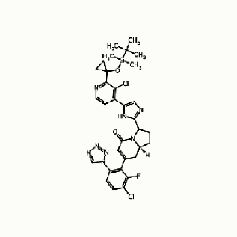 CC(C)(C)[Si](C)(C)OC1(c2nccc(-c3cnc(C4CC[C@@H]5CC(c6c(-n7cnnn7)ccc(Cl)c6F)=CC(=O)N45)[nH]3)c2Cl)CC1